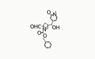 Cn1ccc(C(O)C23CN(C(=O)OCc4ccccc4)C(C=O)(C2)C3)cc1=O